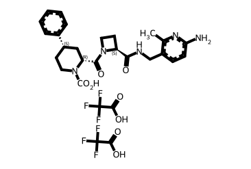 Cc1nc(N)ccc1CNC(=O)[C@@H]1CCN1C(=O)[C@H]1C[C@@H](c2ccccc2)CCN1C(=O)O.O=C(O)C(F)(F)F.O=C(O)C(F)(F)F